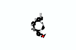 Cn1nc2nc1-c1cc(ccn1)Cc1c(F)cc3[nH]ccc3c1CCSCC(C)(C)CCC[C@]2(C)c1cccc(CC2(C)CC2)c1